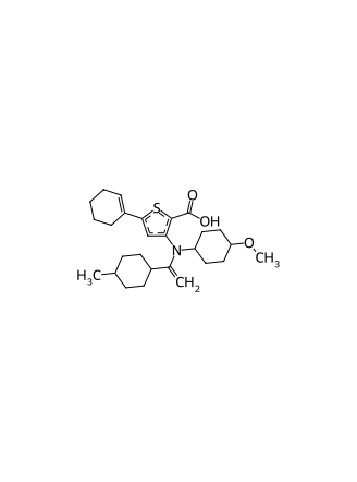 C=C(C1CCC(C)CC1)N(c1cc(C2=CCCCC2)sc1C(=O)O)C1CCC(OC)CC1